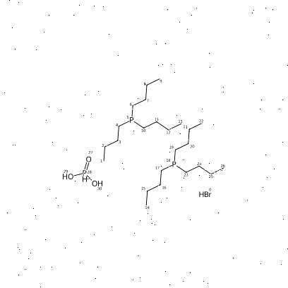 Br.CCCCP(CCCC)CCCC.CCCCP(CCCC)CCCC.O=[PH](O)O